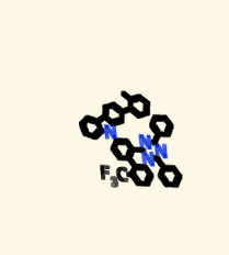 Cc1ccccc1-c1ccc2c3ccccc3n(-c3ccc(-c4ccccc4C(F)(F)F)c(-c4nc(-c5ccccc5)nc(-c5ccccc5)n4)c3)c2c1